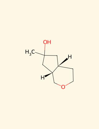 CC1(O)C[C@H]2COCC[C@H]2C1